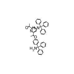 CC(=O)c1cccc(C(C)=O)n1.NC(c1ccccc1)(c1ccccc1)c1ccccc1.NC(c1ccccc1)(c1ccccc1)c1ccccc1